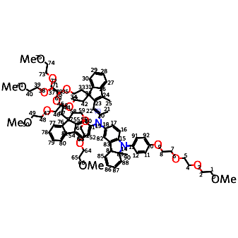 COCCOCCOCCOc1ccc(N2c3ccc(N(/C(C)=C/C4=C(C)c5ccccc5C4(CCOCCOCCOC)CCOCCOCCOC)c4ccc5c(c4)C(CCOCCOCCOC)(CCOCCOCCOC)c4ccccc4-5)cc3C3C=CC=CC32C)cc1